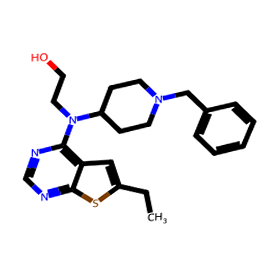 CCc1cc2c(N(CCO)C3CCN(Cc4ccccc4)CC3)ncnc2s1